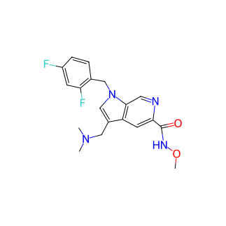 CONC(=O)c1cc2c(CN(C)C)cn(Cc3ccc(F)cc3F)c2cn1